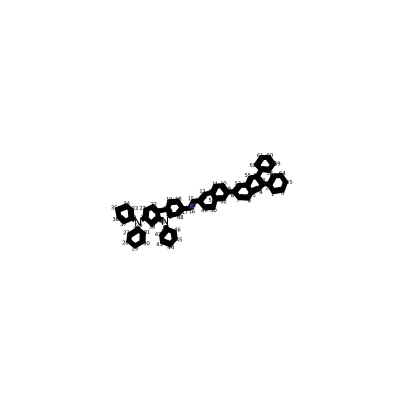 C1=CC(c2cc3ccc(-c4ccc5cc(/C=C/c6ccc7c8ccc(N(C9=CCCC=C9)c9ccccc9)cc8n(-c8ccccc8)c7c6)ccc5c4)cc3cc2-c2ccccc2)=CCC1